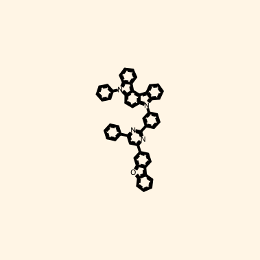 c1ccc(-c2cc(-c3ccc4c(c3)oc3ccccc34)nc(-c3cccc(-n4c5ccccc5c5c6c7ccccc7n(-c7ccccc7)c6ccc54)c3)n2)cc1